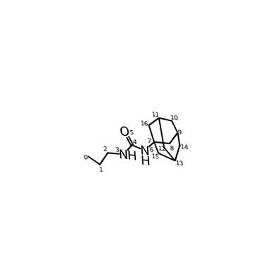 CCCNC(=O)NC12CC3CC(CC(C3)C1)C2